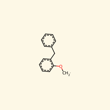 [CH2]Oc1ccccc1Cc1ccccc1